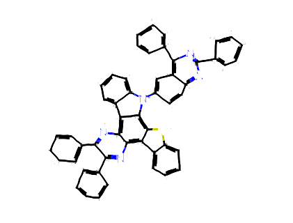 C1=CC(c2nc3c(nc2-c2ccccc2)c2c4ccccc4sc2c2c3c3ccccc3n2-c2ccc3nc(-c4ccccc4)nc(-c4ccccc4)c3c2)=CCC1